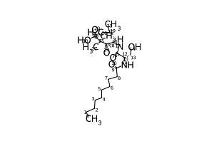 CCCCCCCCCC(=O)N[C@@H](CO)C(=O)N[C@@H](CC(C)C)C(=O)C(C)(C)C(=O)O